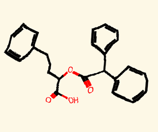 O=C(O)C(CCc1ccccc1)OC(=O)C(c1ccccc1)c1ccccc1